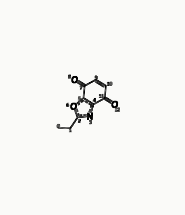 CCc1nc2c(o1)C(=O)C=CC2=O